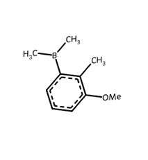 COc1cccc(B(C)C)c1C